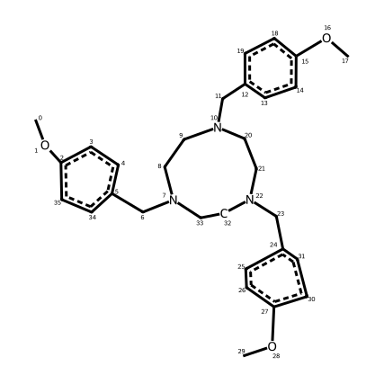 COc1ccc(CN2CCN(Cc3ccc(OC)cc3)CCN(Cc3ccc(OC)cc3)CC2)cc1